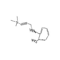 C[Si](C)(C)C#CCNc1ccccc1O